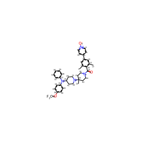 Cc1cc(-c2cc[n+]([O-])cc2)cc(C)c1C(=O)N1CCC(C)(N2CCC(N(c3ccccc3)c3ccc(OC(F)(F)F)cc3)CC2)CC1